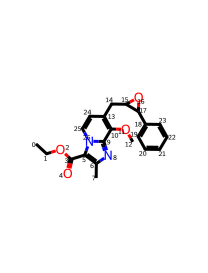 CCOC(=O)c1c(C)nc2c(OC)c(CC3OC3c3ccccc3)ccn12